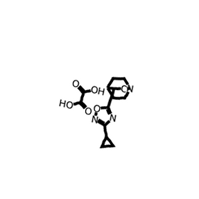 C1CC1c1noc(C2CN3CCC2CC3)n1.O=C(O)C(=O)O